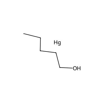 CCCCCO.[Hg]